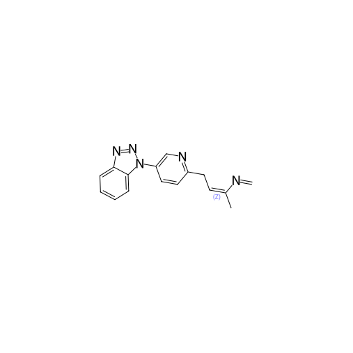 C=N/C(C)=C\Cc1ccc(-n2nnc3ccccc32)cn1